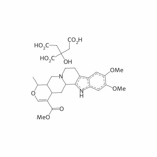 COC(=O)C1=COC(C)C2CN3CCc4c([nH]c5cc(OC)c(OC)cc45)C3CC12.O=C(O)CC(O)(CC(=O)O)C(=O)O